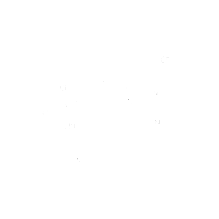 CS(=O)(=O)Nc1cc(-n2c(=O)cc(C(F)(F)F)n3ccnc23)ccc1Cl